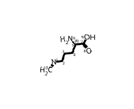 C=NCCC[C@@H](N)C(=O)O